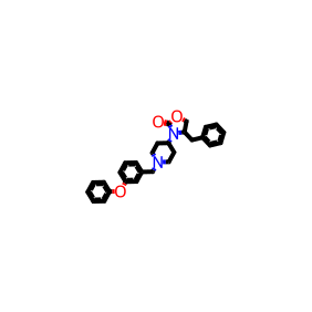 O=C1OCC(Cc2ccccc2)N1C1CCN(Cc2cccc(Oc3ccccc3)c2)CC1